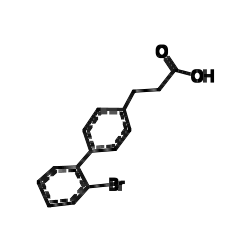 O=C(O)CCc1ccc(-c2ccccc2Br)cc1